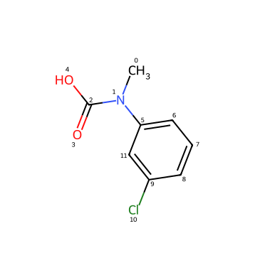 CN(C(=O)O)c1cccc(Cl)c1